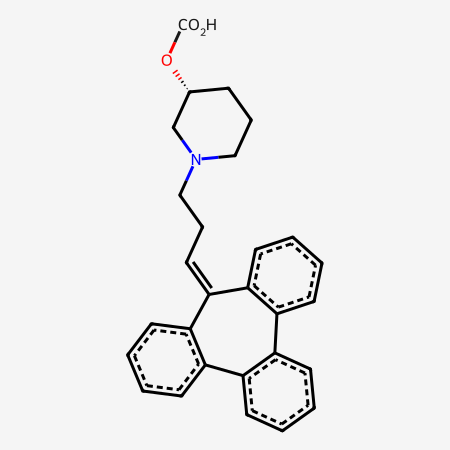 O=C(O)O[C@@H]1CCCN(CCC=C2c3ccccc3-c3ccccc3-c3ccccc32)C1